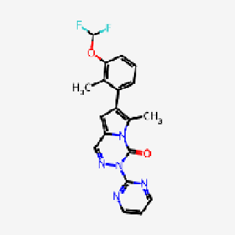 Cc1c(OC(F)F)cccc1-c1cc2cnn(-c3ncccn3)c(=O)n2c1C